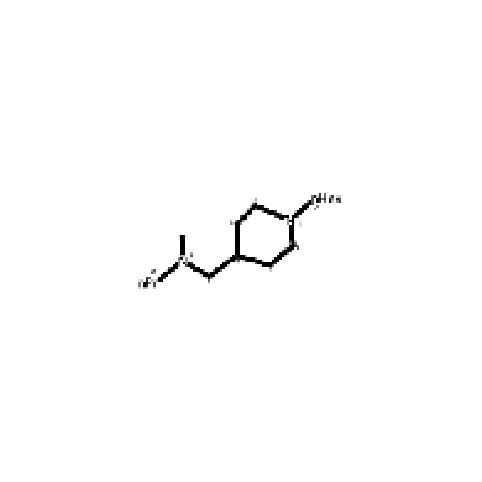 CCCCCCN1CCC(CN(C)CCC)CC1